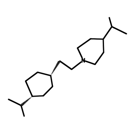 CC(C)C1CCN(CC[C@H]2CC[C@@H](C(C)C)CC2)CC1